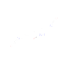 N=C=O.O=C=NCCCCCCCCN=C=O